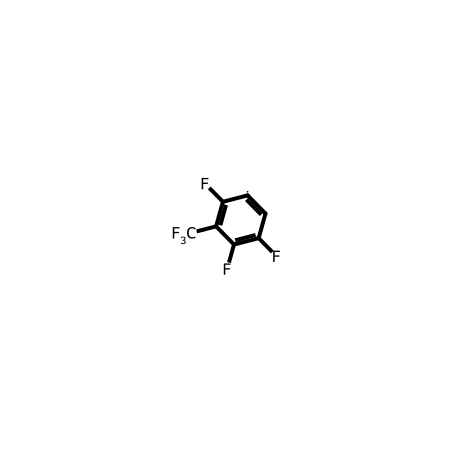 Fc1[c]cc(F)c(F)c1C(F)(F)F